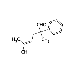 CC(C)=CCC(C)(C=O)c1ccccc1